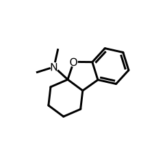 CN(C)C12CCCCC1c1ccccc1O2